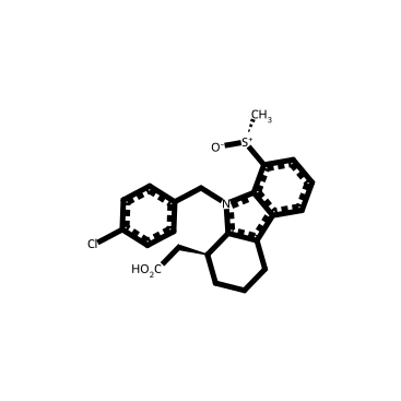 C[S@@+]([O-])c1cccc2c3c(n(Cc4ccc(Cl)cc4)c12)[C@H](CC(=O)O)CCC3